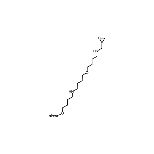 CCCCCOCCCCNCCCCOCCCCNCC1CO1